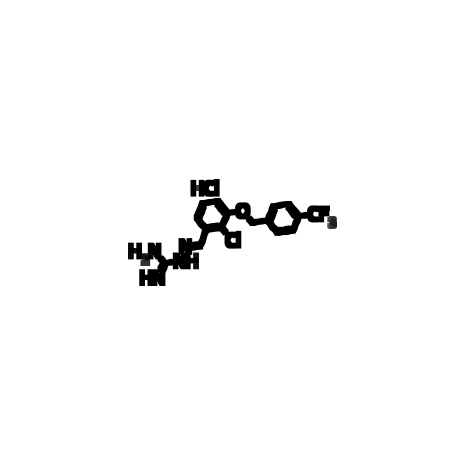 Cl.N=C(N)NN=Cc1cccc(OCc2ccc(C(F)(F)F)cc2)c1Cl